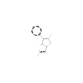 CC1=C(C)C2CC(C)C(c3ccccc3)C2S1